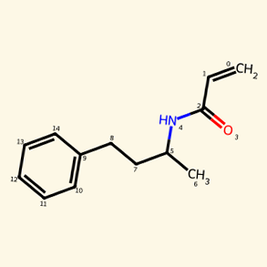 C=CC(=O)NC(C)CCc1ccccc1